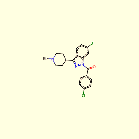 CCN1CCC(c2nn(C(=O)c3ccc(Cl)cc3)c3cc(F)ccc23)CC1